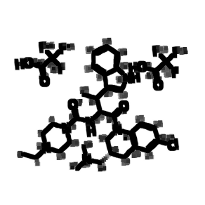 CCN1CCN(C(=O)NC(C(=O)N2C[C@@H](CN(C)C)Cc3cc(Cl)ccc32)C(C)c2c[nH]c3ccccc23)CC1.O=C(O)C(F)(F)F.O=C(O)C(F)(F)F